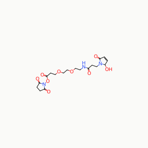 O=C(CCN1C(=O)C=CC1O)NCCOCCOCCC(=O)ON1C(=O)CCC1=O